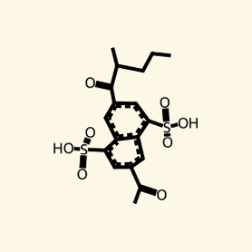 CCCC(C)C(=O)c1cc(S(=O)(=O)O)c2cc(C(C)=O)cc(S(=O)(=O)O)c2c1